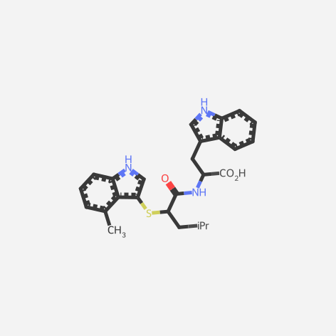 Cc1cccc2[nH]cc(SC(CC(C)C)C(=O)NC(Cc3c[nH]c4ccccc34)C(=O)O)c12